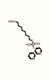 CCCCCCCCCCCCCCCCCCSP(O)(O)=S.c1ccncc1.c1ccncc1